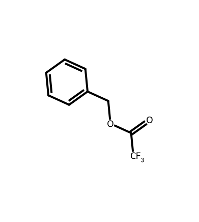 O=C(OCc1ccccc1)C(F)(F)F